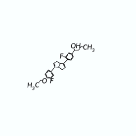 CCCC(O)c1ccc(C2=CCC3C(c4ccc(OCC)c(F)c4)=CCC23)c(F)c1